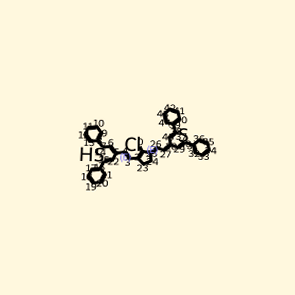 ClC1=C(/C=C/C2=CC(c3ccccc3)=[SH]C(c3ccccc3)=C2)CC/C1=C\C=C1C=C(c2ccccc2)SC(c2ccccc2)=C1